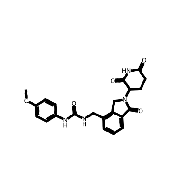 COc1ccc(NC(=O)NCc2cccc3c2CN(C2CCC(=O)NC2=O)C3=O)cc1